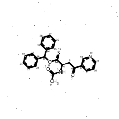 CC(=O)N[C@H](CC(=O)c1cccnc1)C(=S)OC(c1ccccc1)c1ccccc1